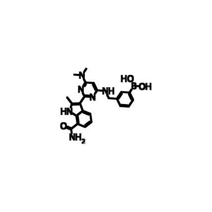 Cc1[nH]c2c(C(N)=O)cccc2c1-c1nc(NCc2cccc(B(O)O)c2)cc(N(C)C)n1